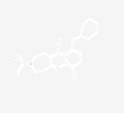 O=C(O)N1CCc2nc3c(Cl)ccc(OC4CCCCC4)c3c(Br)c2CC1